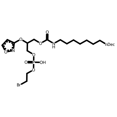 CCCCCCCCCCCCCCCCCNC(=O)OCC(COP(=O)(O)OCCBr)Oc1ccon1